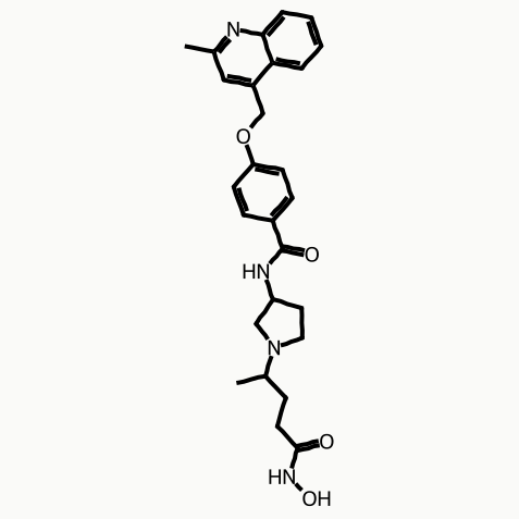 Cc1cc(COc2ccc(C(=O)NC3CCN(C(C)CCC(=O)NO)C3)cc2)c2ccccc2n1